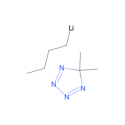 CC1(C)N=NN=N1.[Li][CH2]CCC